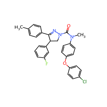 Cc1ccc(C2=NN(C(=O)N(C)c3ccc(Oc4ccc(Cl)cc4)cc3)CC2c2cccc(F)c2)cc1